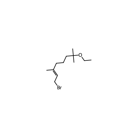 CCOC(C)(C)CCCC(C)=CCBr